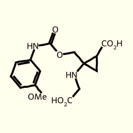 COc1cccc(NC(=O)OCC2(NCC(=O)O)CC2C(=O)O)c1